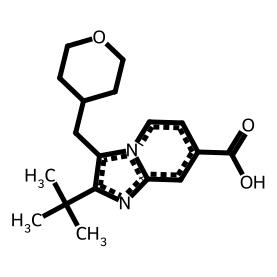 CC(C)(C)c1nc2cc(C(=O)O)ccn2c1CC1CCOCC1